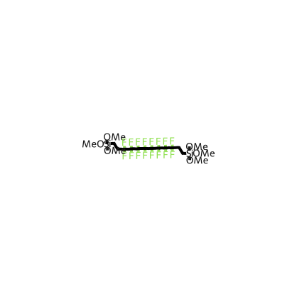 CO[Si](CCC(F)(F)C(F)(F)C(F)(F)C(F)(F)C(F)(F)C(F)(F)C(F)(F)C(F)(F)CC[Si](OC)(OC)OC)(OC)OC